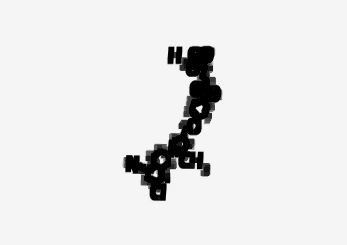 CC1CC(COc2ccc(S(=O)(=O)CCCS(C)(=O)=O)cc2)CN1C1CCc2c(C#N)cc(Cl)cc2C1